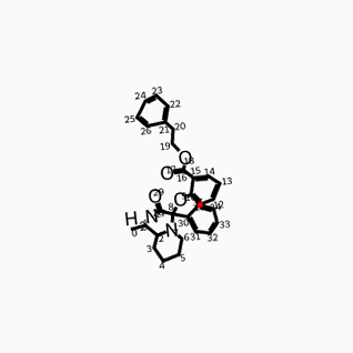 CCC1CCCCN1C(Oc1ccccc1C(=O)OCCc1ccccc1)(C(N)=O)c1ccccc1